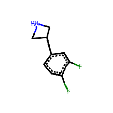 Fc1ccc(C2CNC2)cc1F